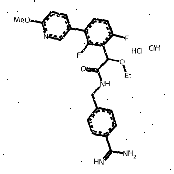 CCOC(C(=O)NCc1ccc(C(=N)N)cc1)c1c(F)ccc(-c2ccc(OC)nc2)c1F.Cl.Cl